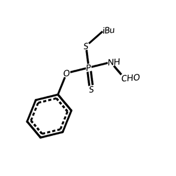 CCC(C)SP(=S)(NC=O)Oc1ccccc1